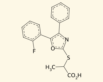 CC(Sc1nc(-c2ccccc2)c(-c2ccccc2F)o1)C(=O)O